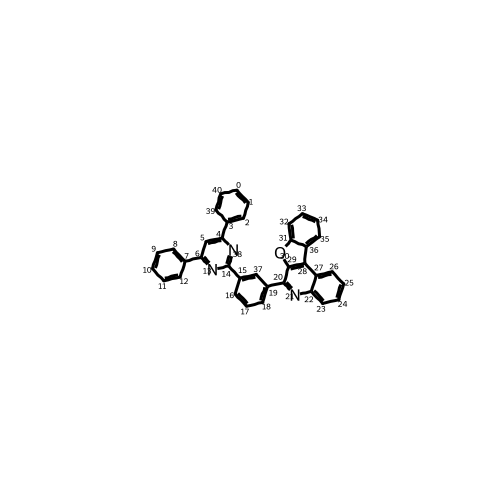 c1ccc(-c2cc(-c3ccccc3)nc(-c3cccc(-c4nc5ccccc5c5c4oc4ccccc45)c3)n2)cc1